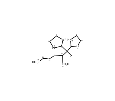 CC(C1NCCO1)(C1NCCO1)C(CCCC(=O)O)C(=O)O